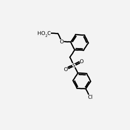 O=C(O)COc1ccccc1CS(=O)(=O)c1ccc(Cl)cc1